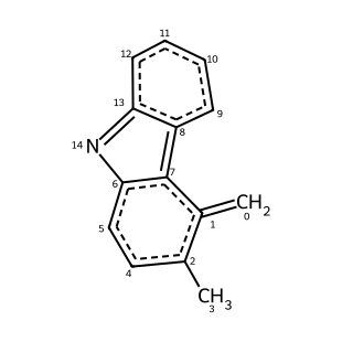 C=c1c(C)ccc2c1=c1ccccc1=N2